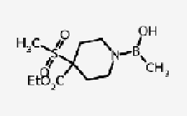 CCOC(=O)C1(S(C)(=O)=O)CCN(B(C)O)CC1